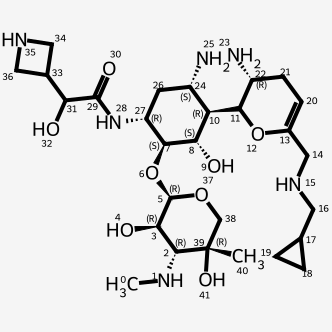 CN[C@@H]1[C@@H](O)[C@@H](O[C@@H]2[C@@H](O)[C@H](C3OC(CNCC4CC4)=CC[C@H]3N)[C@@H](N)C[C@H]2NC(=O)C(O)C2CNC2)OC[C@]1(C)O